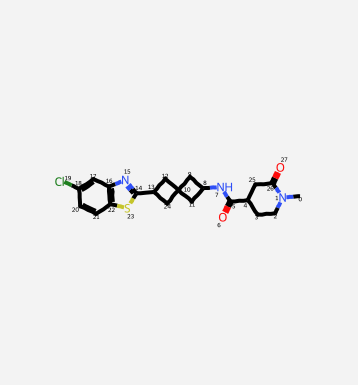 CN1CCC(C(=O)NC2CC3(C2)CC(c2nc4cc(Cl)ccc4s2)C3)CC1=O